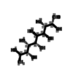 C[C@@H](O)[C@@H](O)[C@H](O)[C@@H](O)[C@@H](O)[C@H](O)[C@H](O)[C@@H](O)C=O